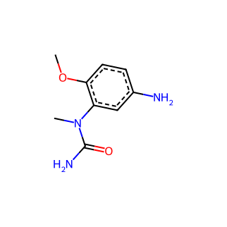 COc1ccc(N)cc1N(C)C(N)=O